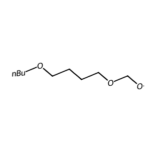 CCCCOCCCCOC[O]